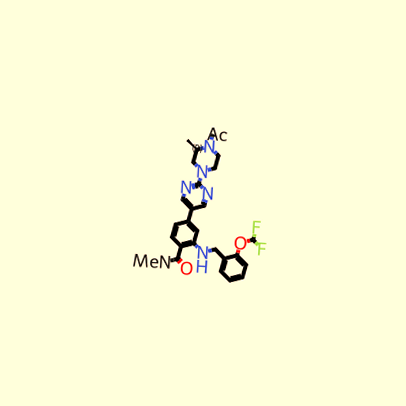 CNC(=O)c1ccc(-c2cnc(N3CCN(C(C)=O)[C@H](C)C3)nc2)cc1NCc1ccccc1OC(F)F